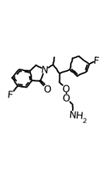 CC(C(COOCN)C1=CC=C(F)CC1)N1Cc2ccc(F)cc2C1=O